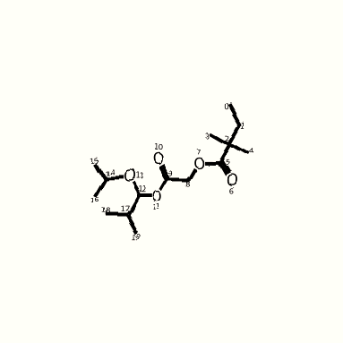 CCC(C)(C)C(=O)OCC(=O)OC(OC(C)C)C(C)C